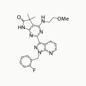 COCCNc1nc(-c2nn(Cc3ccccc3F)c3ncccc23)nc2c1C(C)(C)C(=O)N2